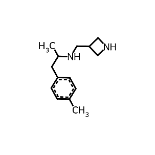 Cc1ccc(CC(C)NCC2CNC2)cc1